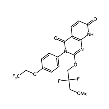 COCC(F)(F)COc1nc2[nH]c(=O)ccc2c(=O)n1-c1ccc(OCC(F)(F)F)cc1